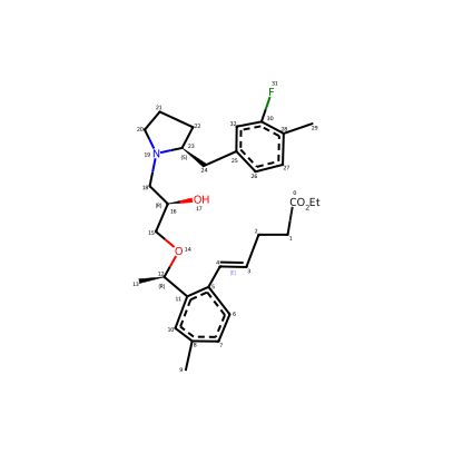 CCOC(=O)CC/C=C/c1ccc(C)cc1[C@@H](C)OC[C@H](O)CN1CCC[C@H]1Cc1ccc(C)c(F)c1